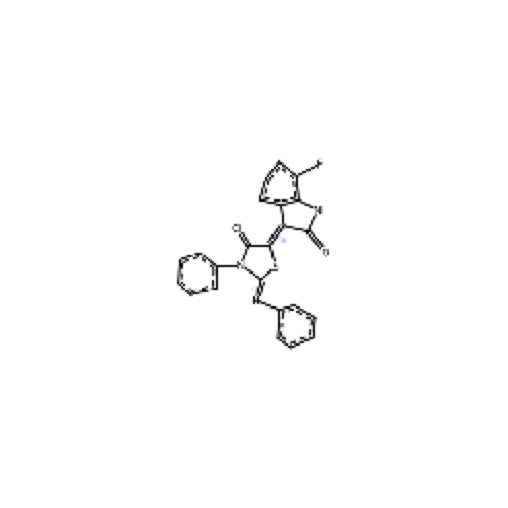 O=C1Nc2c(F)cccc2/C1=C1/S/C(=N\c2ccccc2)N(c2ccccc2)C1=O